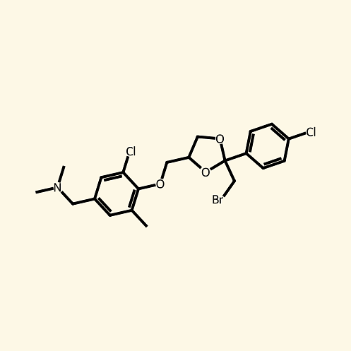 Cc1cc(CN(C)C)cc(Cl)c1OCC1COC(CBr)(c2ccc(Cl)cc2)O1